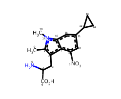 Cc1c(CC(N)C(=O)O)c2c([N+](=O)[O-])cc(C3CC3)cc2n1C